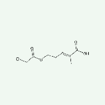 C/C(=C\CCOC(=O)CCl)C(=O)O